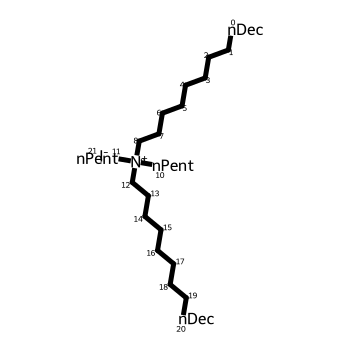 CCCCCCCCCCCCCCCCCC[N+](CCCCC)(CCCCC)CCCCCCCCCCCCCCCCCC.[I-]